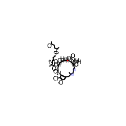 COc1cc2cc(c1Cl)N(C)C(=O)C[C@@H](OC(=O)[C@@H](C)N(C)C(=O)CCSSC(C)CCC(C)=O)[C@@]1(C)O[C@@H]1[C@@H](C)[C@H]1C[C@](O)(NC(=O)O1)[C@@H](OC)/C=C/C=C(\C)C2